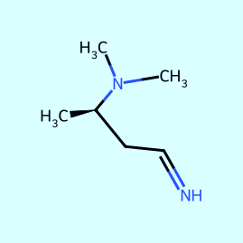 C[C@H](CC=N)N(C)C